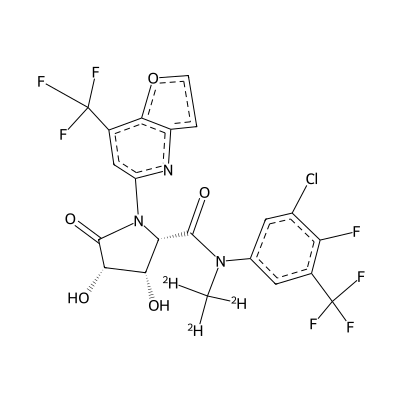 [2H]C([2H])([2H])N(C(=O)[C@@H]1[C@H](O)[C@H](O)C(=O)N1c1cc(C(F)(F)F)c2occc2n1)c1cc(Cl)c(F)c(C(F)(F)F)c1